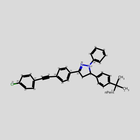 CCCCCC(C)(C)c1ccc(C2CC(c3ccc(C#Cc4ccc(Cl)cc4)cc3)=NN2c2ccccc2)cc1